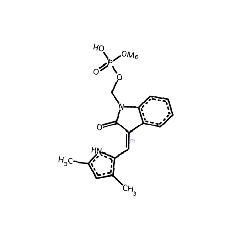 COP(=O)(O)OCN1C(=O)/C(=C\c2[nH]c(C)cc2C)c2ccccc21